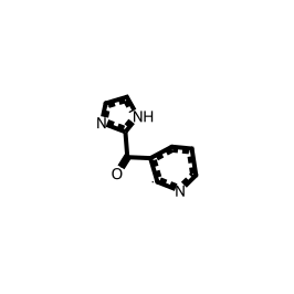 O=C(c1[c]nccc1)c1ncc[nH]1